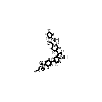 CCCS(=O)(=O)c1ccc(-c2cnc3[nH]cc(C4=CCN(C(=O)NC5CCCC5)CC4)c3c2)cc1